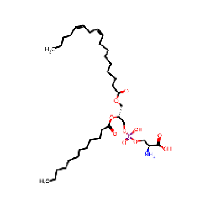 CCCC/C=C\C/C=C\CCCCCCCC(=O)OC[C@H](COP(=O)(O)OC[C@H](N)C(=O)O)OC(=O)CCCCCCCCCCC